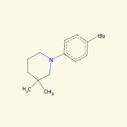 CC1(C)CCCN(c2ccc(C(C)(C)C)cc2)C1